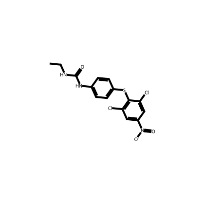 CCNC(=O)Nc1ccc(Sc2c(Cl)cc([N+](=O)[O-])cc2Cl)cc1